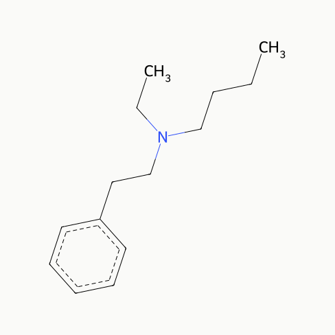 CCCCN(CC)CCc1ccccc1